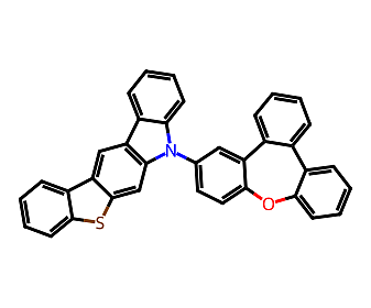 c1ccc2c(c1)Oc1ccc(-n3c4ccccc4c4cc5c(cc43)sc3ccccc35)cc1-c1ccccc1-2